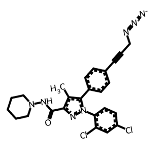 Cc1c(C(=O)NN2CCCCC2)nn(-c2ccc(Cl)cc2Cl)c1-c1ccc(C#CCN=[N+]=[N-])cc1